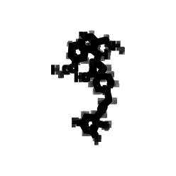 COc1ccc2ncc(CN)c([C@H](F)CCC3(C(=O)O)CCN(CC#Cc4cc(F)cc(F)c4F)CC3)c2c1